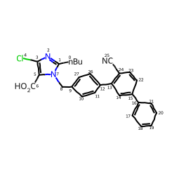 CCCCc1nc(Cl)c(C(=O)O)n1Cc1ccc(-c2cc(-c3ccccc3)ccc2C#N)cc1